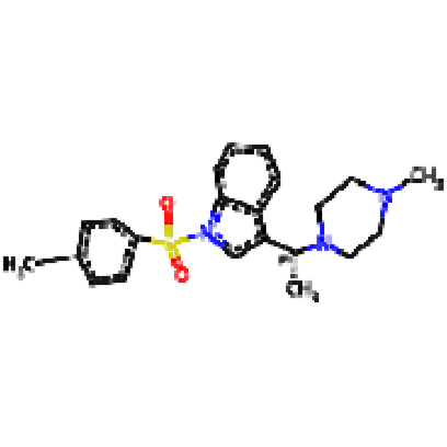 Cc1ccc(S(=O)(=O)n2cc([C@@H](C)N3CCN(C)CC3)c3ccccc32)cc1